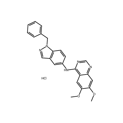 COc1cc2ncnc(Nc3ccc4c(cnn4Cc4ccccc4)c3)c2cc1OC.Cl